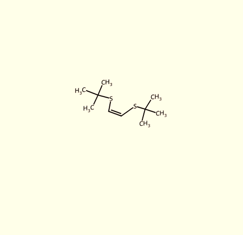 CC(C)(C)S/C=C\SC(C)(C)C